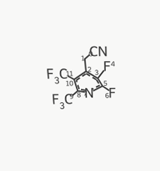 N#CCc1c(F)c(F)nc(C(F)(F)F)c1C(F)(F)F